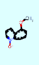 COc1cccc2c1ccc[n+]2[O-]